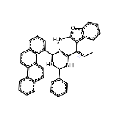 C/C=C(/C1=NC(c2cccc3ccc4c5ccccc5ccc4c23)NC(c2ccccc2)N1)c1c(N)oc2ccccc12